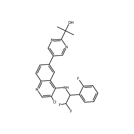 CC(C)(O)c1ncc(-c2ccc3ncc(Cl)c(NC(c4ccccc4F)C(F)F)c3c2)cn1